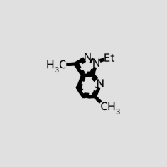 CCn1nc(C)c2ccc(C)nc21